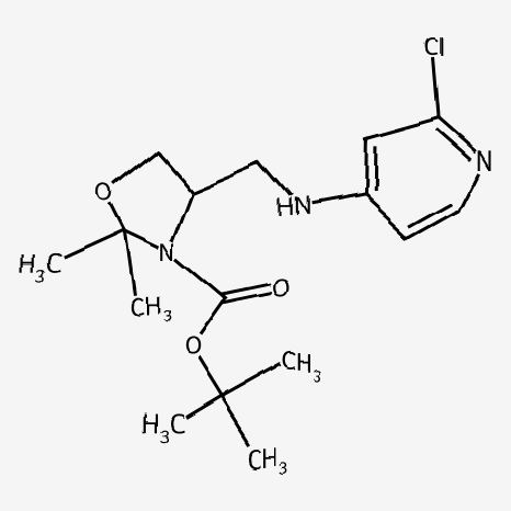 CC(C)(C)OC(=O)N1C(CNc2ccnc(Cl)c2)COC1(C)C